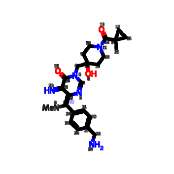 CN/C(=C1/N=CN(CC2(O)CCN(C(=O)C3(C)CC3)CC2)C(=O)C1=N)c1ccc(CN)cc1